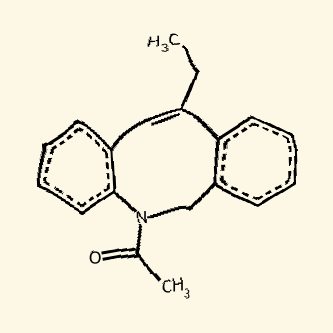 CC/C1=C/c2ccccc2N(C(C)=O)Cc2ccccc21